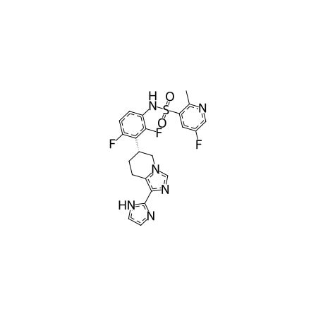 Cc1ncc(F)cc1S(=O)(=O)Nc1ccc(F)c([C@H]2CCc3c(-c4ncc[nH]4)ncn3C2)c1F